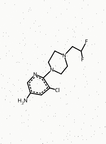 Nc1cnc(N2CCN(CC(F)F)CC2)c(Cl)c1